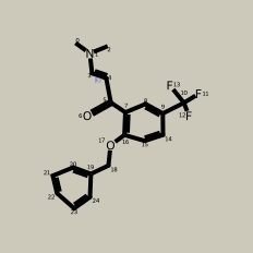 CN(C)/C=C/C(=O)c1cc(C(F)(F)F)ccc1OCc1ccccc1